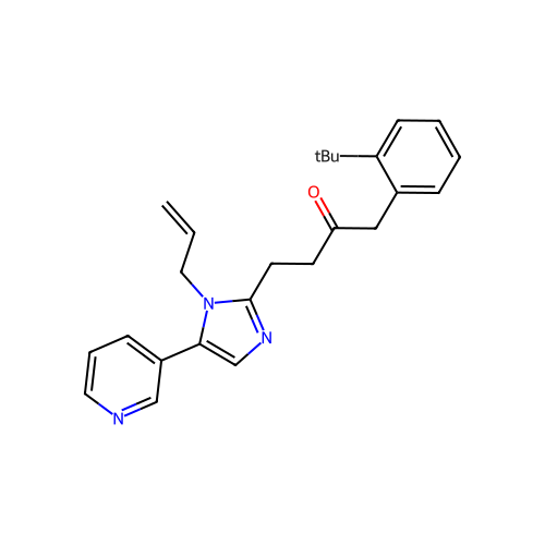 C=CCn1c(-c2cccnc2)cnc1CCC(=O)Cc1ccccc1C(C)(C)C